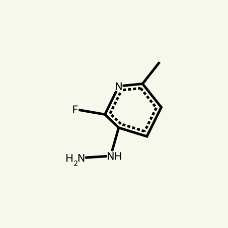 Cc1ccc(NN)c(F)n1